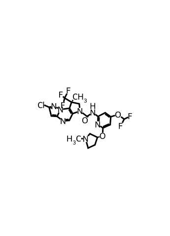 CN1CC[C@H](Oc2cc(OC(F)F)cc(NC(=O)N3C[C@@](C)(C(F)(F)F)c4c3cnc3cc(Cl)nn43)n2)C1